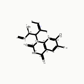 C=N[C@@H](CCC)C(/C(C)=C\C)n1c(=O)[nH]c(=O)c2cc(F)c(Cl)nc21